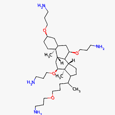 CC(CCCOCCCN)C1CC[C@H]2C3[C@H](OCCCN)CC4C[C@H](OCCCN)CC[C@]4(C)[C@H]3C[C@H](OCCCN)[C@]12C